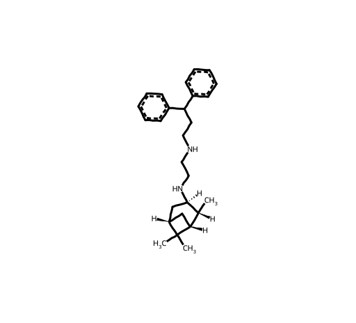 C[C@@H]1[C@H]2C[C@@H](C[C@H]1NCCNCCC(c1ccccc1)c1ccccc1)C2(C)C